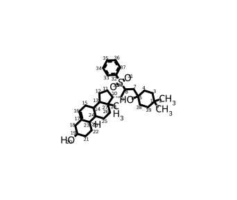 CC1(C)CCC(O)(CC(C[C@H]2CCC3C4CC=C5CC(O)CC[C@@H]5C4CCC32C)S(=O)(=O)c2ccccc2)CC1